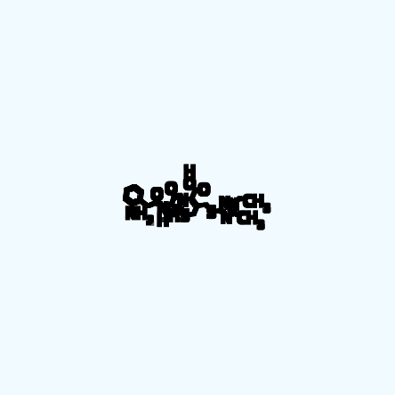 CCn1nc(SCC2=C(C(=O)O)N3C(=O)C(NC(=O)Cc4ccccc4N)[C@H]3SC2)nc1C